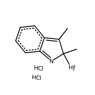 CC1=c2ccccc2=N[C]1(C)[Hf].Cl.Cl